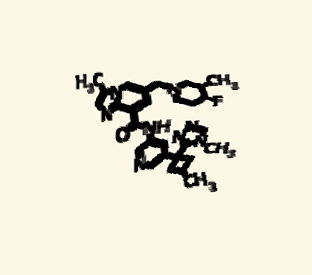 Cc1cnc2c(C(=O)Nc3cncc(C4(c5nncn5C)CC(C)C4)c3)cc(CN3CC[C@H](F)[C@H](C)C3)cn12